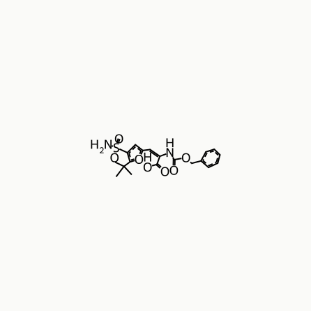 CC(C)(C)c1oc(C=C(NC(=O)OCc2ccccc2)C(=O)O)cc1S(N)(=O)=O